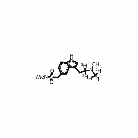 [2H]C([2H])([2H])N(C)C([2H])([2H])Cc1c[nH]c2ccc(CS(=O)(=O)NC)cc12